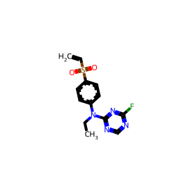 C=CS(=O)(=O)c1ccc(N(CC)c2n[c]nc(F)n2)cc1